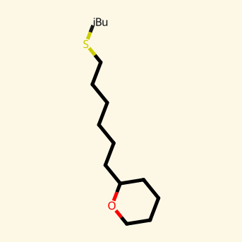 CCC(C)SCCCCCCC1CCCCO1